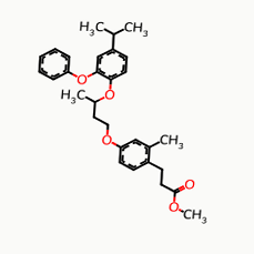 COC(=O)CCc1ccc(OCCC(C)Oc2ccc(C(C)C)cc2Oc2ccccc2)cc1C